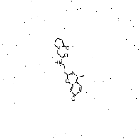 Cc1nc(CCNC(=O)CN2CCCC2=O)oc2cc(=O)ccc1-2